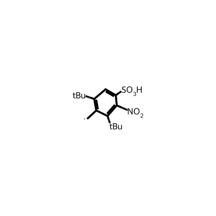 [CH2]c1c(C(C)(C)C)cc(S(=O)(=O)O)c([N+](=O)[O-])c1C(C)(C)C